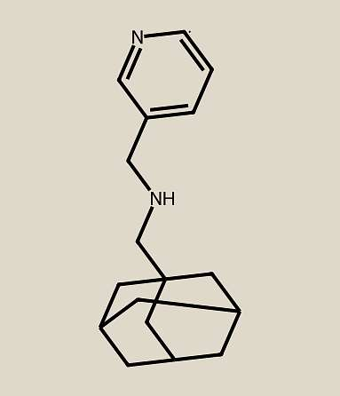 [c]1ccc(CNCC23CC4CC(CC(C4)C2)C3)cn1